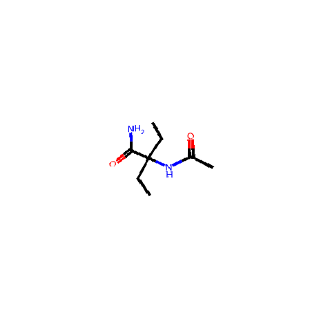 CCC(CC)(NC(C)=O)C(N)=O